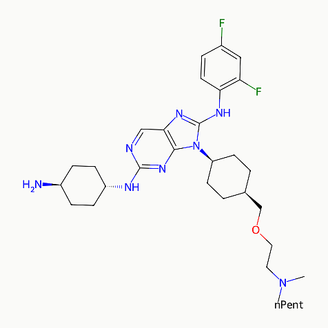 CCCCCN(C)CCOC[C@H]1CC[C@@H](n2c(Nc3ccc(F)cc3F)nc3cnc(N[C@H]4CC[C@H](N)CC4)nc32)CC1